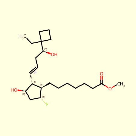 CCC1([C@@H](O)C/C=C/[C@@H]2[C@@H](CCCCCCC(=O)OC)[C@H](F)C[C@H]2O)CCC1